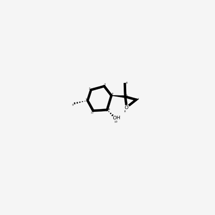 C[C@@H]1CC[C@@H](C2(C)CO2)[C@H](O)C1